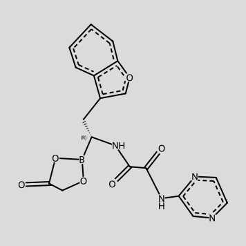 O=C1COB([C@H](Cc2coc3ccccc23)NC(=O)C(=O)Nc2cnccn2)O1